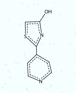 Oc1csc(-c2ccncc2)n1